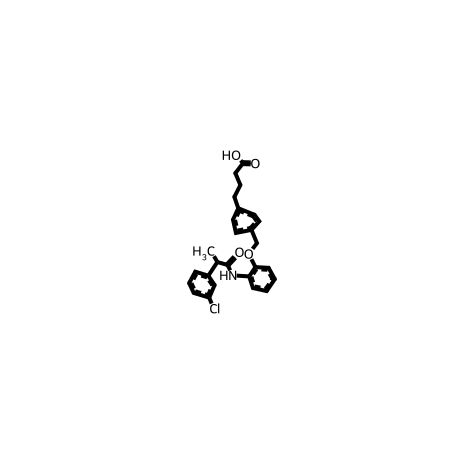 CC(C(=O)Nc1ccccc1OCc1ccc(CCCC(=O)O)cc1)c1cccc(Cl)c1